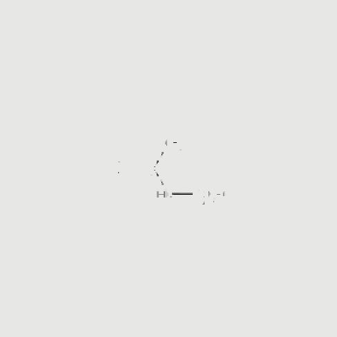 CCOC(=O)NC(C(F)(F)F)C(F)(F)F